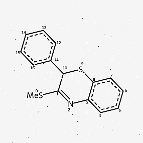 CSC1=Nc2ccccc2SC1c1ccccc1